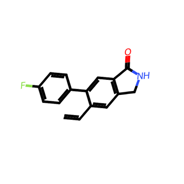 C=Cc1cc2c(cc1-c1ccc(F)cc1)C(=O)NC2